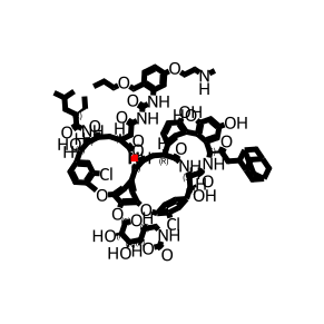 CCCOCc1ccc(OCCNC)cc1NC(=O)NC(=O)C[C@@H]1CC(=O)[C@H](NC(=O)[C@H](CC)CC(C)C)[C@H](O)c2ccc(c(Cl)c2)Oc2cc3cc(c2O[C@@H]2O[C@@H]4CNC(=O)O[C@H]4[C@H](O)[C@H]2O)Oc2ccc(cc2Cl)[C@@H](O)[C@@H]2NC(=O)[C@H](CC(=O)[C@@H]3NC1=O)c1ccc(O)c(c1)-c1c(O)cc(O)cc1[C@@H](C(=O)CC1C3CC4CC(C3)CC1C4)NC2=O